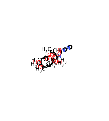 C/C=C/C(O)C(C)/C=C/C(=N\OCC(=O)N1CCC(N2CCCCC2)CC1)C(C)C(O)C(C)C1OC(=O)/C(OC)=C/C(C)=C/C(C)C(O)C(CC)C(O)C(C)C/C(C)=C/C=C/C1OC